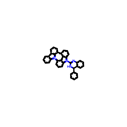 c1ccc(C2NC(n3c4cccc5c6cccc7c8ccccc8n(c8cccc3c8c54)c67)=Nc3ccccc32)cc1